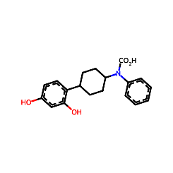 O=C(O)N(c1ccccc1)C1CCC(c2ccc(O)cc2O)CC1